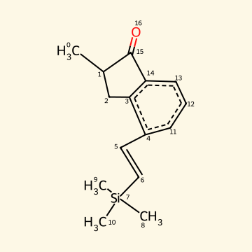 CC1Cc2c(C=C[Si](C)(C)C)cccc2C1=O